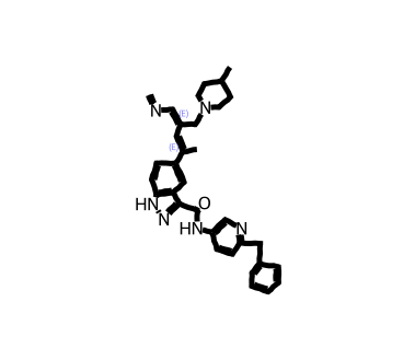 C=N/C=C(\C=C(/C)c1ccc2[nH]nc(C(=O)Nc3ccc(Cc4ccccc4)nc3)c2c1)CN1CCC(C)CC1